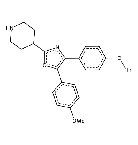 COc1ccc(-c2oc(C3CCNCC3)nc2-c2ccc(OC(C)C)cc2)cc1